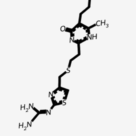 CCCCc1c(C)[nH]c(CCSCc2csc(N=C(N)N)n2)nc1=O